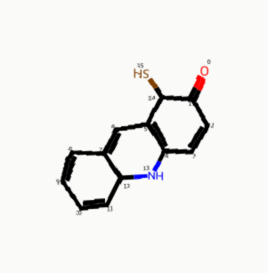 O=C1C=CC2=C(C=C3C=CC=CC3N2)C1S